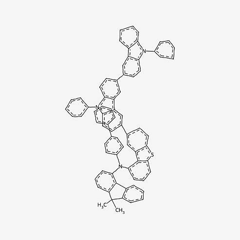 CC1(C)c2ccccc2-c2c(N(c3ccc(-c4ccccc4)cc3)c3cccc4sc5ccc(-c6ccc7c(c6)c6cc(-c8ccc9c(c8)c8ccccc8n9-c8ccccc8)ccc6n7-c6ccccc6)cc5c34)cccc21